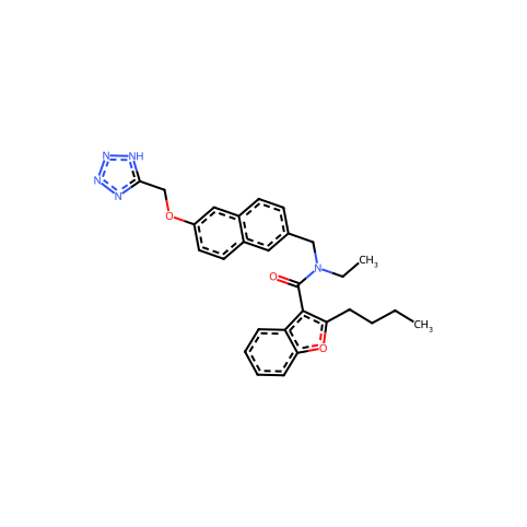 CCCCc1oc2ccccc2c1C(=O)N(CC)Cc1ccc2cc(OCc3nnn[nH]3)ccc2c1